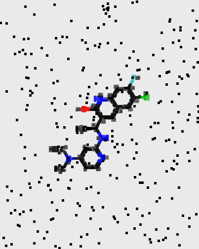 C[C@H](Nc1cc(N(C)C(=O)O)ccn1)c1cc2cc(Cl)c(F)cc2[nH]c1=O